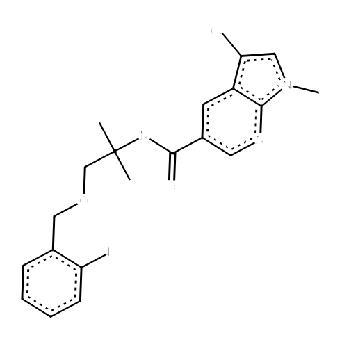 Cn1cc(Cl)c2cc(C(=O)NC(C)(C)COCc3ccccc3F)cnc21